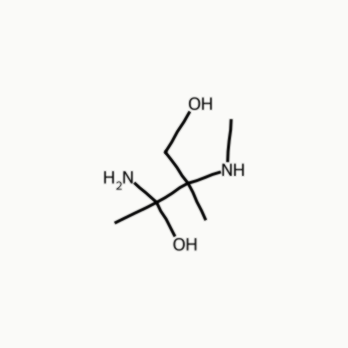 CNC(C)(CO)C(C)(N)O